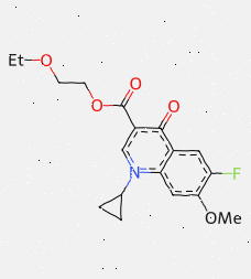 CCOCCOC(=O)c1cn(C2CC2)c2cc(OC)c(F)cc2c1=O